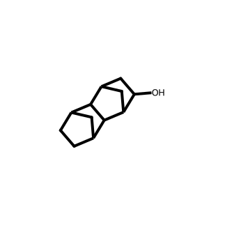 OC1CC2CC1C1C3CCC(C3)C21